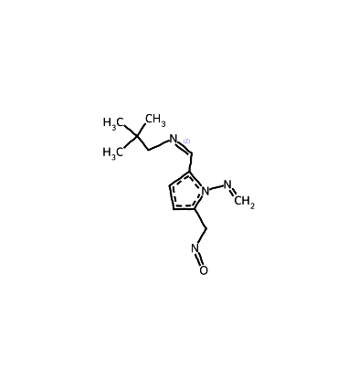 C=Nn1c(/C=N\CC(C)(C)C)ccc1CN=O